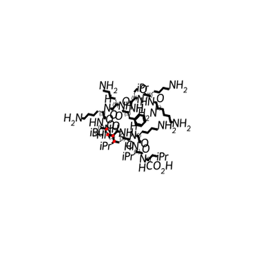 CC[C@H](C)[C@H](NC(=O)[C@H](CCCCN)NC(=O)[C@H](CCCCN)NC(=O)[C@H](Cc1ccccc1)NC(=O)[C@H](CC(C)C)NC(=O)[C@H](CCCCN)NC(=O)[C@@H](N)CCCCN)C(=O)N[C@@H](CC(C)C)C(=O)N[C@@H](CCCCN)C(=O)N[C@@H](CCCCN)C(=O)N[C@H](C(=O)N[C@@H](CC(C)C)C(=O)O)C(C)C